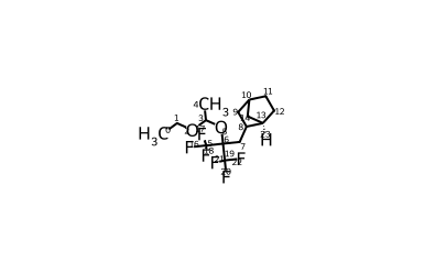 CCOC(C)OC(CC1CC2CC[C@@H]1C2)(C(F)(F)F)C(F)(F)F